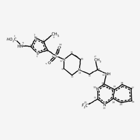 Cc1nc(NC(=O)O)sc1S(=O)(=O)N1CCN(CC(C)Nc2nc(C(F)(F)F)nc3ccccc23)CC1